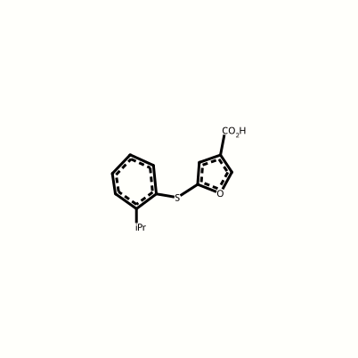 CC(C)c1ccccc1Sc1cc(C(=O)O)co1